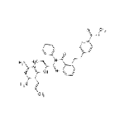 CC[C@H](Nc1nc(N)nc(N)c1/C=N/C)c1nc2cccc(CCc3ccc(C(=O)OC)cc3)c2c(=O)n1-c1ccccc1